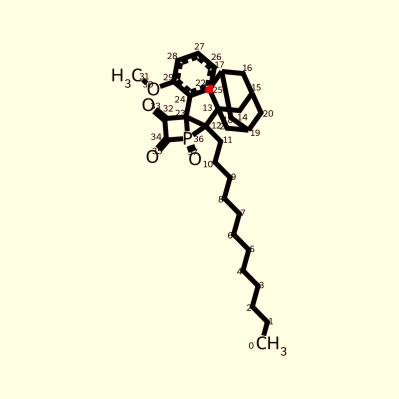 CCCCCCCCCCCCC1(C23CC4CC(CC(C4)C2)C3)C2(c3ccccc3OC)C(=O)C(=O)P21=O